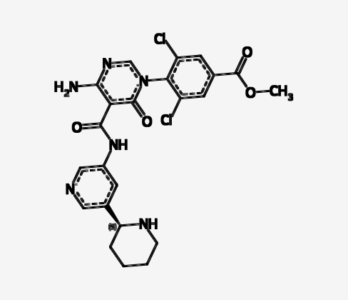 COC(=O)c1cc(Cl)c(-n2cnc(N)c(C(=O)Nc3cncc([C@@H]4CCCCN4)c3)c2=O)c(Cl)c1